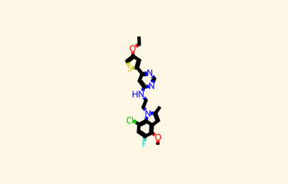 CCOc1csc(-c2cc(NCCn3c(C)cc4c(OC)c(F)cc(Cl)c43)ncn2)c1